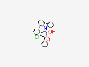 Oc1c(-n2c3ccccc3c3cccc(-c4ccccc4)c32)cc(Cl)c2c1oc1ccccc12